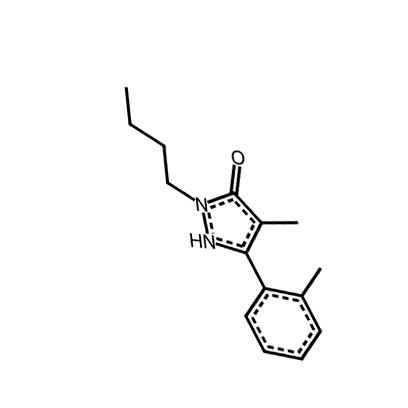 CCCCn1[nH]c(-c2ccccc2C)c(C)c1=O